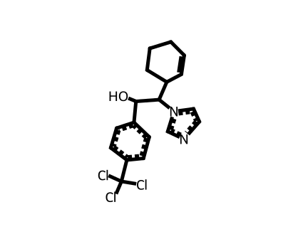 OC(c1ccc(C(Cl)(Cl)Cl)cc1)C(C1C=CCCC1)n1ccnc1